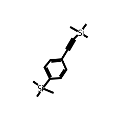 C[Si](C)(C)C#Cc1ccc([Si](C)(C)C)cc1